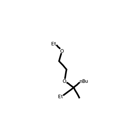 [CH2]COCCOC(C)(CC)CCCC